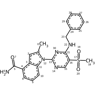 Cc1cc2c(C(N)=O)cccc2n1-c1ncc(S(C)(=O)=O)c(NCc2ccccc2)n1